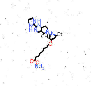 CCc1cc(OCCCCCCCC(=O)ON)cc(N2CCC3NC(C4=NC=CCN4)=NC=C3C2C)n1